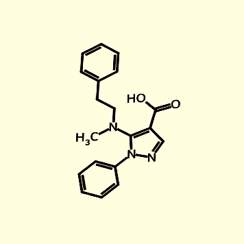 CN(CCc1ccccc1)c1c(C(=O)O)cnn1-c1ccccc1